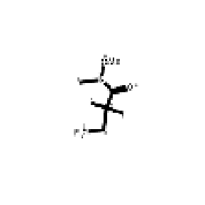 CON(C)C(=O)C(C)(C)CC(F)(F)F